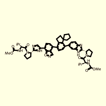 COC(=O)N[C@H](C(=O)N1CCC[C@H]1c1ncc(-c2ccc(-c3ccc(-c4ccc5nc([C@@H]6CCCN6C(=O)[C@@H](NC(=O)OC)C(C)C)[nH]c5c4)c4c3CCC43CCCC3)c3cnoc23)[nH]1)C(C)C